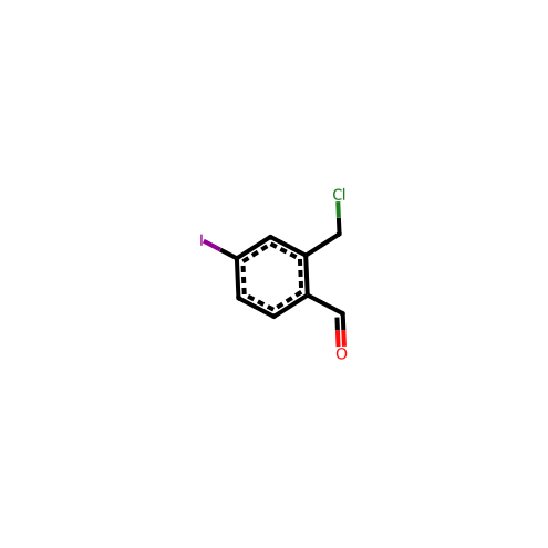 O=Cc1ccc(I)cc1CCl